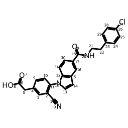 N#Cc1cc(CC(=O)O)ccc1-n1ccc2cc(C(=O)NCCc3ccc(Cl)cc3)ccc21